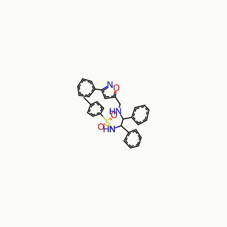 Cc1ccc(S(=O)(=O)NC(c2ccccc2)C(NCc2cc(-c3ccccc3)no2)c2ccccc2)cc1